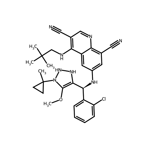 COC1=C([C@@H](Nc2cc(C#N)c3ncc(C#N)c(NCC(C)(C)C)c3c2)c2ccccc2Cl)NNN1C1(C)CC1